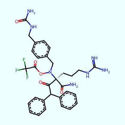 N=C(N)NCCC[C@](C(N)=O)(C(=O)C(c1ccccc1)c1ccccc1)N(Cc1ccc(CNC(N)=O)cc1)OC(=O)C(F)(F)F